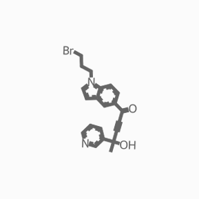 CC(O)(C#CC(=O)c1ccc2c(ccn2CCCBr)c1)c1cccnc1